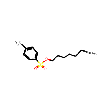 CCCCCCCCCCCCCCCCOS(=O)(=O)c1ccc([N+](=O)[O-])cc1